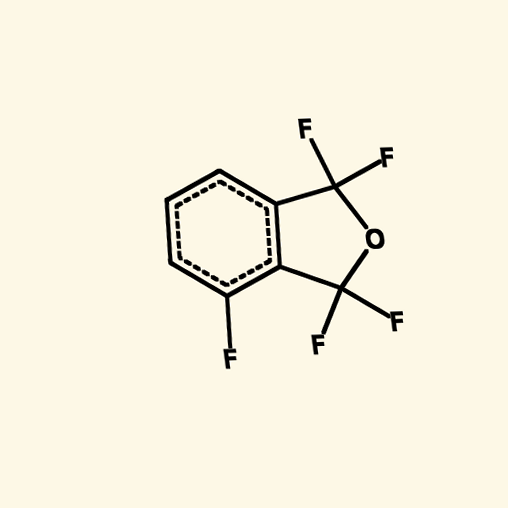 Fc1cccc2c1C(F)(F)OC2(F)F